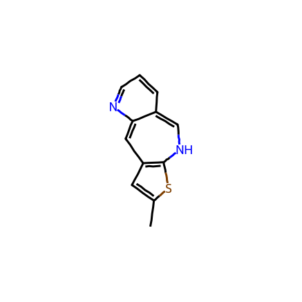 Cc1cc2c(s1)NC=c1cccnc1=C2